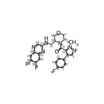 Cn1ncc(-c2ccc(F)cc2)c1C(=O)N1CCOCC1CNc1cnc2cc(F)c(F)cc2n1